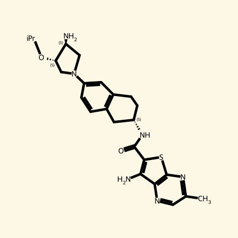 Cc1cnc2c(N)c(C(=O)N[C@H]3CCc4cc(N5C[C@H](OC(C)C)[C@@H](N)C5)ccc4C3)sc2n1